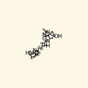 Cc1ncc([C@H](CC(=O)O)NC(=O)[C@H]2C[C@H](CCc3ccc4c(n3)NCCC4)C2)cn1